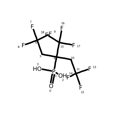 O=P(O)(O)C(CC(F)(F)F)(CC(F)(F)F)C(F)(F)F